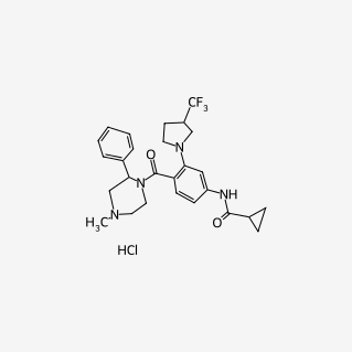 CN1CCN(C(=O)c2ccc(NC(=O)C3CC3)cc2N2CCC(C(F)(F)F)C2)C(c2ccccc2)C1.Cl